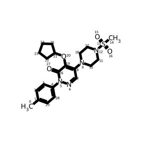 Cc1ccc(-n2ncc(N3CCN(S(C)(=O)=O)CC3)c(OC3CCCC3)c2=O)cc1